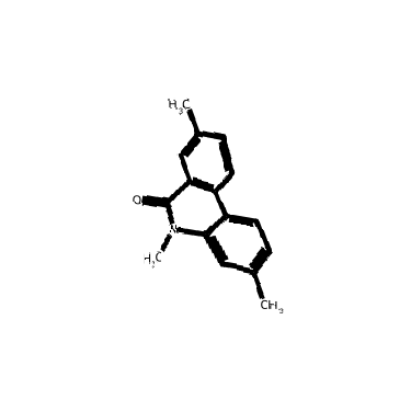 Cc1ccc2c(c1)c(=O)n(C)c1cc(C)ccc21